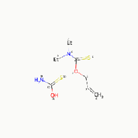 C=CCOC(=S)N(CC)CC.NC(O)=S